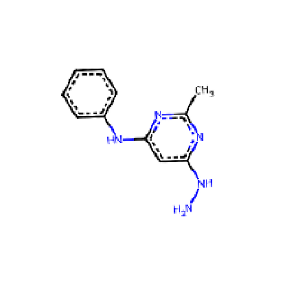 Cc1nc(NN)cc(Nc2ccccc2)n1